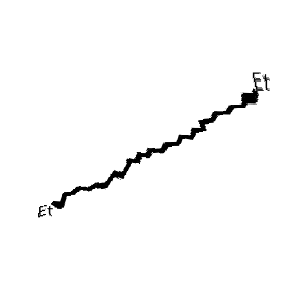 CC/C=C/C/C=C/C/C=C/CCCCCCCCCCCCCC/C=C/C/C=C/C/C=C/CC